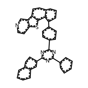 c1ccc(-c2nc(-c3ccc(-c4cccc5ccc6c7cnccc7sc6c45)cc3)nc(-c3ccc4ccccc4c3)n2)cc1